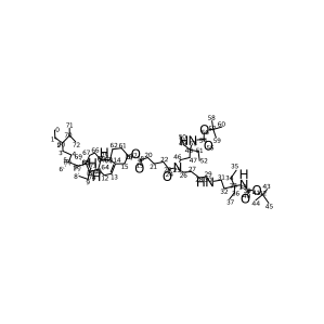 CC[C@H](CC[C@@H](C)[C@H]1CC[C@H]2[C@@H]3CC=C4C[C@@H](OC(=O)CCCC(=O)N(CCCCNCCC(CC)(CC)NC(=O)OC(C)(C)C)CCC(CC)(CC)NC(=O)OC(C)(C)C)CC[C@]4(C)[C@H]3CC[C@]12C)C(C)C